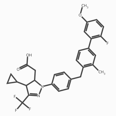 COc1ccc(F)c(-c2ccc(Cc3ccc(N4N=C(C(F)(F)F)C(C5CC5)C4CC(=O)O)cc3)c(C)c2)c1